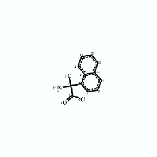 CC(Cl)(C(=O)Cl)c1cccc2ccccc12